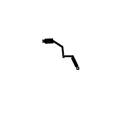 N#CCSC=O